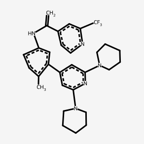 C=C(Nc1ccc(C)c(-c2cc(N3CCCCC3)nc(N3CCCCC3)c2)c1)c1ccnc(C(F)(F)F)c1